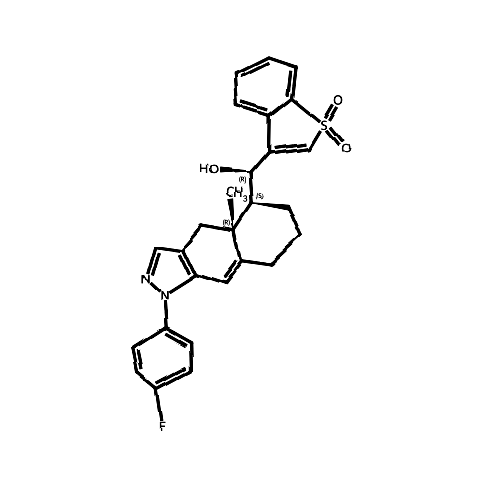 C[C@]12Cc3cnn(-c4ccc(F)cc4)c3C=C1CCC[C@@H]2[C@@H](O)C1=CS(=O)(=O)c2ccccc21